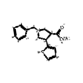 COC(=O)C1CN(Cc2ccccc2)CC1c1cccs1